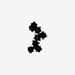 c1ccc(-n2c3ccccc3c3cc(-c4ccc5c(c4)c4ccccc4n5-c4ccc5c(n4)-c4cncc6cccc-5c46)ccc32)cc1